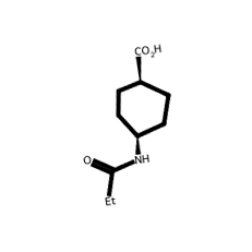 CCC(=O)N[C@H]1CC[C@@H](C(=O)O)CC1